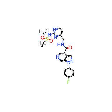 CN(c1nccc(CNC(=O)c2cncc3c2cnn3-c2ccc(F)cc2)n1)S(C)(=O)=O